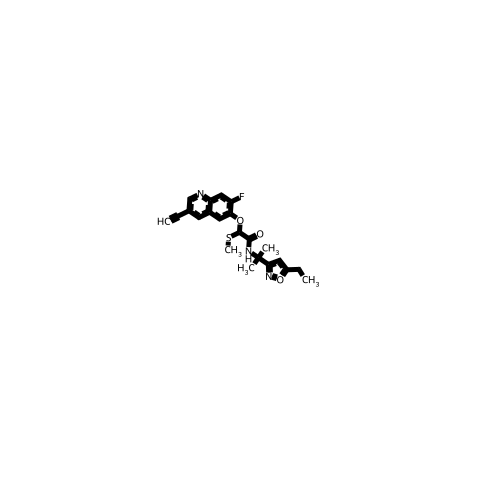 C#Cc1cnc2cc(F)c(OC(SC)C(=O)NC(C)(C)c3cc(CC)on3)cc2c1